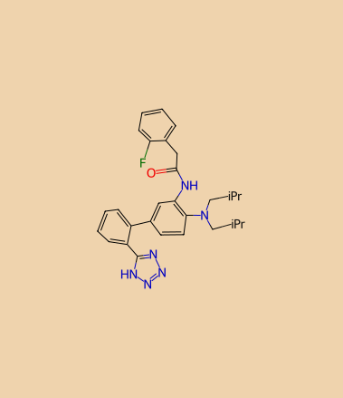 CC(C)CN(CC(C)C)c1ccc(-c2ccccc2-c2nnn[nH]2)cc1NC(=O)Cc1ccccc1F